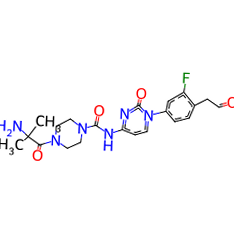 CC(C)(N)C(=O)N1CCN(C(=O)Nc2ccn(-c3ccc(CC=O)c(F)c3)c(=O)n2)CC1